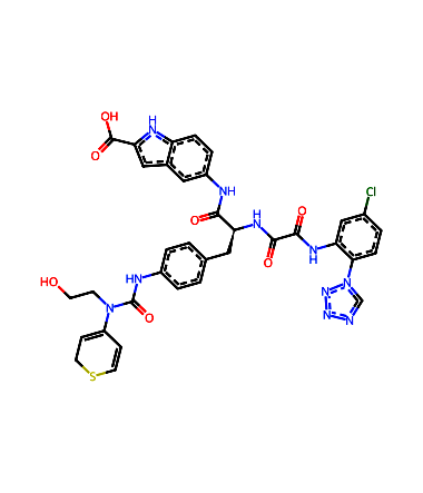 O=C(Nc1cc(Cl)ccc1-n1cnnn1)C(=O)N[C@@H](Cc1ccc(NC(=O)N(CCO)C2=CCSC=C2)cc1)C(=O)Nc1ccc2[nH]c(C(=O)O)cc2c1